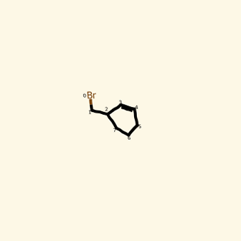 BrCC1C=CCCC1